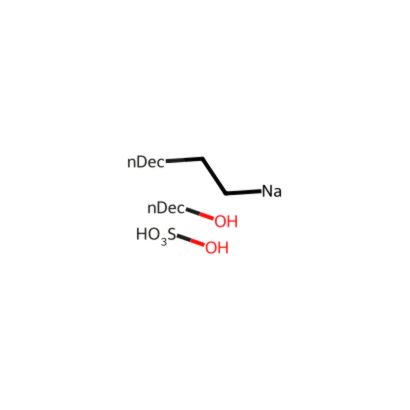 CCCCCCCCCCC[CH2][Na].CCCCCCCCCCO.O=S(=O)(O)O